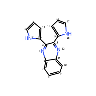 c1c[nH]c(-c2nc3ccccc3nc2-c2ccc[nH]2)c1